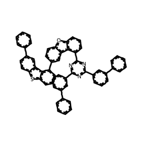 c1ccc(-c2cccc(-c3nc(-c4cccc(-c5ccccc5)c4)nc(-c4cccc5oc6ccc(-c7cccc8sc9ccc(-c%10ccccc%10)cc9c78)cc6c45)n3)c2)cc1